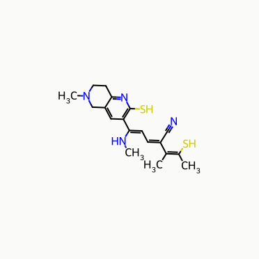 CN\C(=C/C=C(C#N)/C(C)=C(/C)S)c1cc2c(nc1S)CCN(C)C2